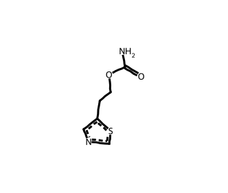 NC(=O)OCCc1cncs1